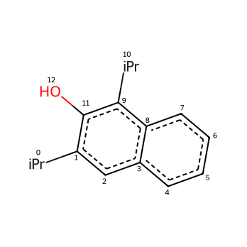 CC(C)c1cc2ccccc2c(C(C)C)c1O